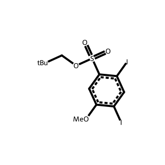 COc1cc(S(=O)(=O)OCC(C)(C)C)c(I)cc1I